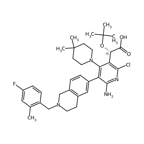 Cc1cc(F)ccc1CN1CCc2cc(-c3c(N)nc(Cl)c([C@H](OC(C)(C)C)C(=O)O)c3N3CCC(C)(C)CC3)ccc2C1